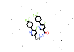 N#Cc1cnc(C2CCC(F)(F)CC2)c(F)c1.NC(=O)c1cnc(C2CCC(F)(F)CC2)c(F)c1